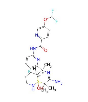 CC1(C)C(N)=N[C@](C)(c2nc(NC(=O)c3ccc(OC(F)F)cn3)ccc2F)[C@@H]2CCCNS21O